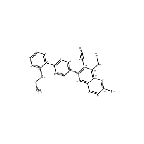 CCOc1ccccc1-c1ccc(-c2nc3ccc(F)cc3c(CCl)c2C#N)cc1